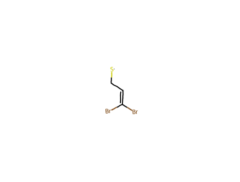 [S]CC=C(Br)Br